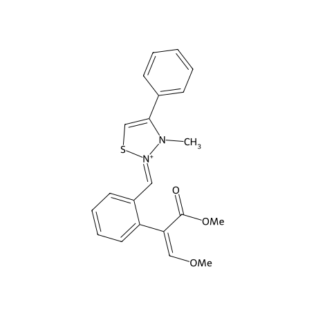 COC=C(C(=O)OC)c1ccccc1C=[N+]1SC=C(c2ccccc2)N1C